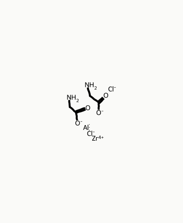 NCC(=O)[O-].NCC(=O)[O-].[Al].[Cl-].[Cl-].[Zr+4]